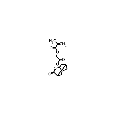 C=C(C)C(=O)OCC(=O)OC12CC3CC1CC3C(=O)O2